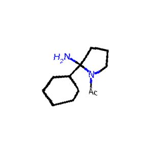 CC(=O)N1CCCC1(N)C1CCCCC1